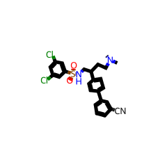 CN(C)CCC(CNS(=O)(=O)c1cc(Cl)cc(Cl)c1)c1ccc(-c2cccc(C#N)c2)cc1